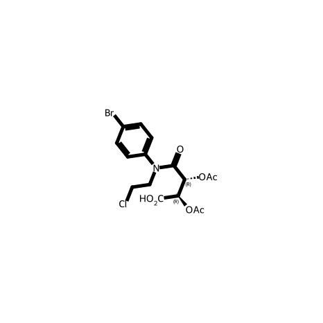 CC(=O)O[C@@H](C(=O)O)[C@@H](OC(C)=O)C(=O)N(CCCl)c1ccc(Br)cc1